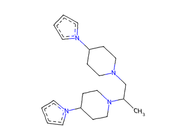 CC(CN1CCC(n2cccc2)CC1)N1CCC(n2cccc2)CC1